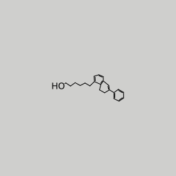 OCCCCCCc1cccc2c1CCC(c1ccccc1)=C2